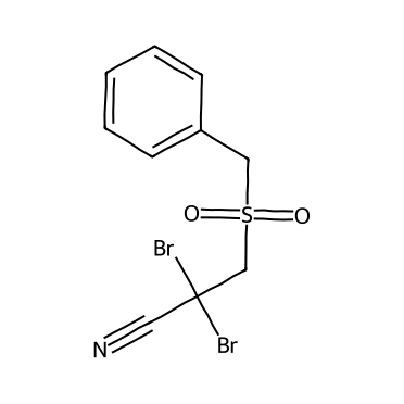 N#CC(Br)(Br)CS(=O)(=O)Cc1ccccc1